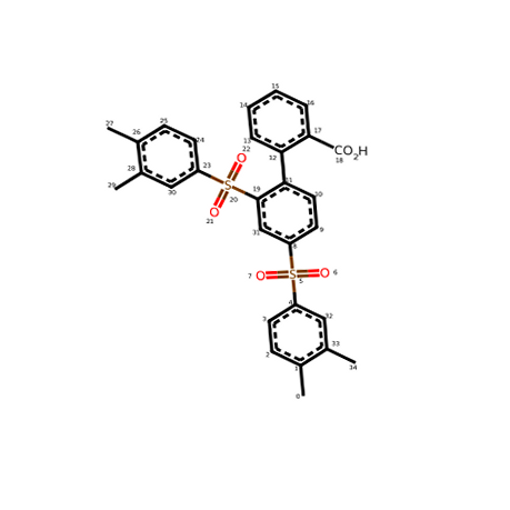 Cc1ccc(S(=O)(=O)c2ccc(-c3ccccc3C(=O)O)c(S(=O)(=O)c3ccc(C)c(C)c3)c2)cc1C